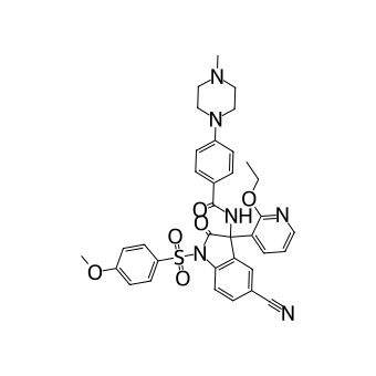 CCOc1ncccc1C1(NC(=O)c2ccc(N3CCN(C)CC3)cc2)C(=O)N(S(=O)(=O)c2ccc(OC)cc2)c2ccc(C#N)cc21